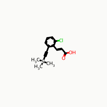 C[Si](C)(C)C#Cc1cccc(Cl)c1/C=C/C(=O)O